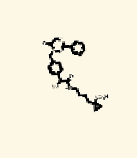 CCC(C)C(C(=O)NCCCCC1(C(=O)O)CC1)c1ccc(CN2N=C(c3ccccc3)OCC2=O)cc1